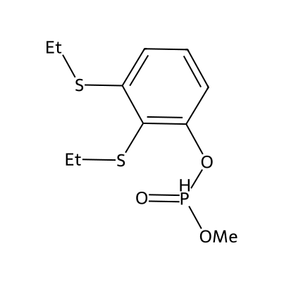 CCSc1cccc(O[PH](=O)OC)c1SCC